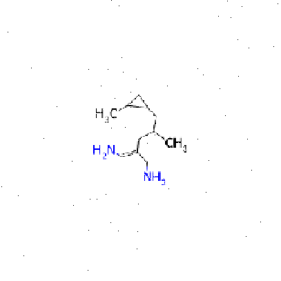 CC(C/C(=C\N)CN)CC1CC1C